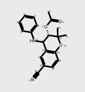 CC(=O)O[C@H]1C(Nc2ccccc2)c2cc(C#N)ccc2OC1(C)C